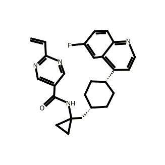 C=Cc1ncc(C(=O)NC2(C[C@H]3CC[C@@H](c4ccnc5ccc(F)cc54)CC3)CC2)cn1